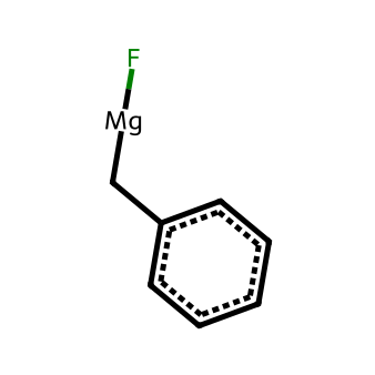 [F][Mg][CH2]c1ccccc1